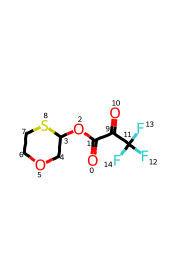 O=C(OC1COCCS1)C(=O)C(F)(F)F